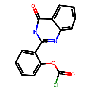 O=C(Cl)Oc1ccccc1-c1nc2ccccc2c(=O)[nH]1